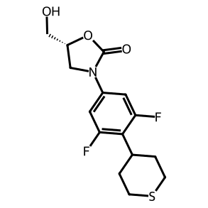 O=C1O[C@@H](CO)CN1c1cc(F)c(C2CCSCC2)c(F)c1